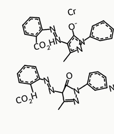 CC1=NN(c2ccccc2)C(=O)C1N=Nc1ccccc1C(=O)O.Cc1nn(-c2ccccc2)c([O-])c1N=Nc1ccccc1C(=O)O.[Cr].[Na+]